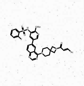 COc1ncc(-c2ccc3ncnc(N4CCC5(CC4)CN(C(=O)C=CC(C)=O)C5)c3c2)cc1NS(=O)(=O)c1ccccc1F